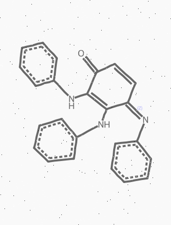 O=C1C=C/C(=N/c2ccccc2)C(Nc2ccccc2)=C1Nc1ccccc1